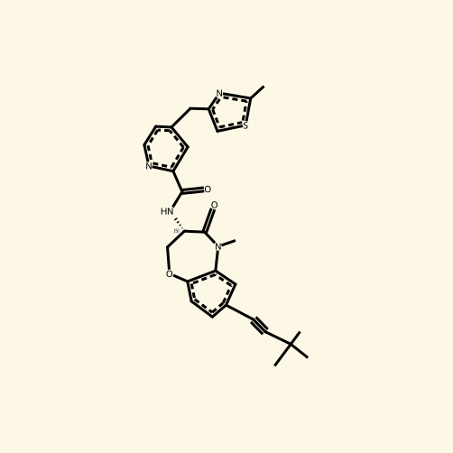 Cc1nc(Cc2ccnc(C(=O)N[C@H]3COc4ccc(C#CC(C)(C)C)cc4N(C)C3=O)c2)cs1